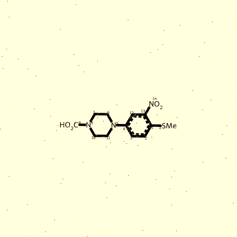 CSc1ccc(N2CCN(C(=O)O)CC2)cc1[N+](=O)[O-]